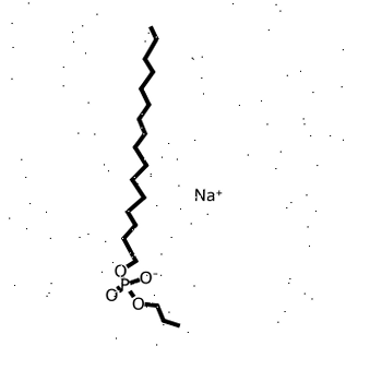 CCCCCCCCCCCCCCCCOP(=O)([O-])OCCC.[Na+]